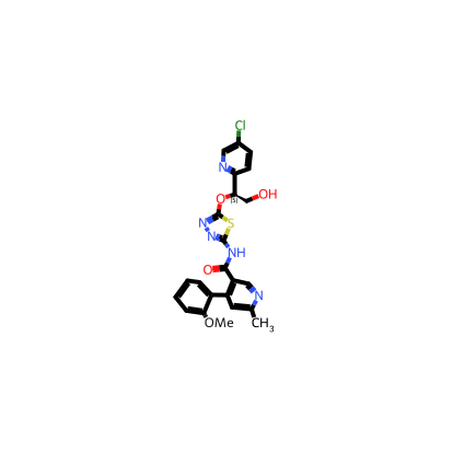 COc1ccccc1-c1cc(C)ncc1C(=O)Nc1nnc(O[C@H](CO)c2ccc(Cl)cn2)s1